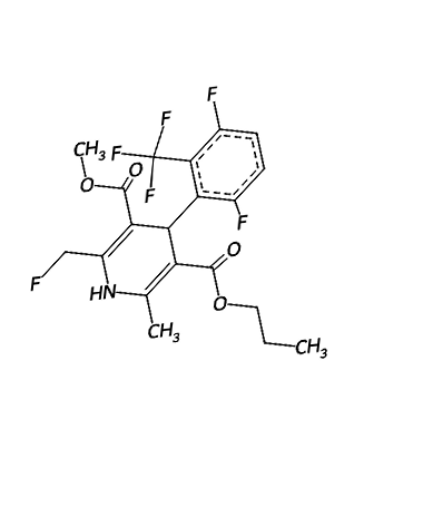 CCCOC(=O)C1=C(C)NC(CF)=C(C(=O)OC)C1c1c(F)ccc(F)c1C(F)(F)F